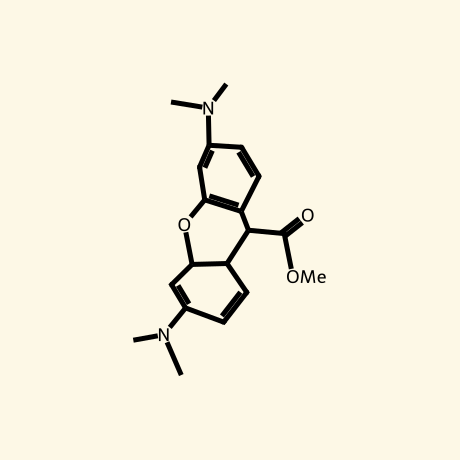 COC(=O)C1c2ccc(N(C)C)cc2OC2C=C(N(C)C)C=CC21